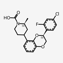 C[C@H]1CC(c2cccc3c2O[C@@H](c2ccc(Cl)cc2F)CO3)CCN1C(=O)O